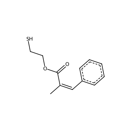 CC(=Cc1ccccc1)C(=O)OCCS